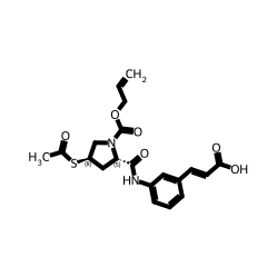 C=CCOC(=O)N1C[C@H](SC(C)=O)C[C@H]1C(=O)Nc1cccc(C=CC(=O)O)c1